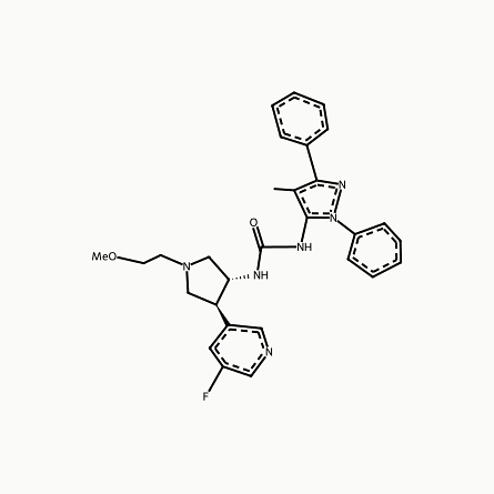 COCCN1C[C@H](NC(=O)Nc2c(C)c(-c3ccccc3)nn2-c2ccccc2)[C@@H](c2cncc(F)c2)C1